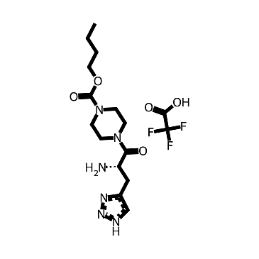 CCCCOC(=O)N1CCN(C(=O)[C@@H](N)Cc2c[nH]nn2)CC1.O=C(O)C(F)(F)F